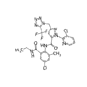 CCNC(=O)c1cc(Cl)cc(C)c1NC(=O)c1cc(Cn2nnnc2C(F)(F)F)nn1-c1ncccc1Cl